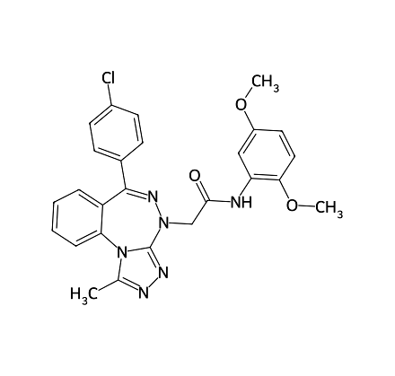 COc1ccc(OC)c(NC(=O)CN2N=C(c3ccc(Cl)cc3)c3ccccc3-n3c(C)nnc32)c1